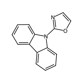 c1ccc2c(c1)c1ccccc1n2-c1ncco1